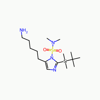 CN(C)S(=O)(=O)n1c(CCCCCN)cnc1[Si](C)(C)C(C)(C)C